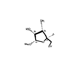 CO[C@H]1O[C@](C)(CO)[C@@H](O)[C@H]1O